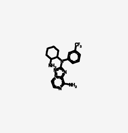 Nc1nccn2nc(N(c3cccc(C(F)(F)F)c3)C3CCCCC3N)nc12